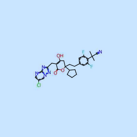 CC(C)(C#N)c1c(F)cc(CCC2(C3CCCC3)CC(O)=C(Cc3nc4ncc(Cl)cn4n3)C(=O)O2)cc1F